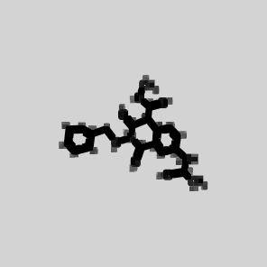 COC(=O)C1C(=O)N(OCc2ccccc2)C(=O)c2cc(NC(C)=O)ccc21